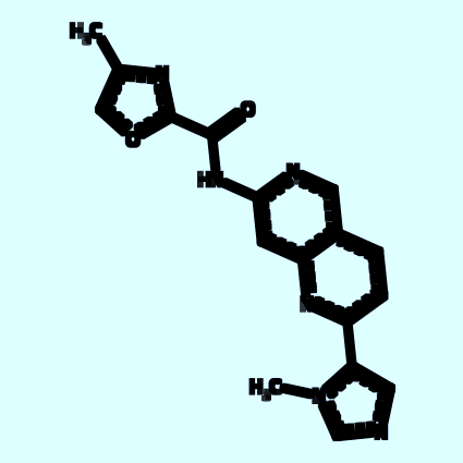 Cc1coc(C(=O)Nc2cc3nc(-c4cncn4C)ccc3cn2)n1